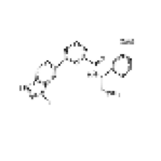 COc1cccc(C(CN)NC(=O)c2cccc(-c3ccc4[nH]nc(C)c4c3)c2)c1